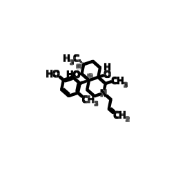 C=CCN1CC[C@]2(c3cc(O)ccc3C)C(O)[C@H](C)CCC2(O)C1C